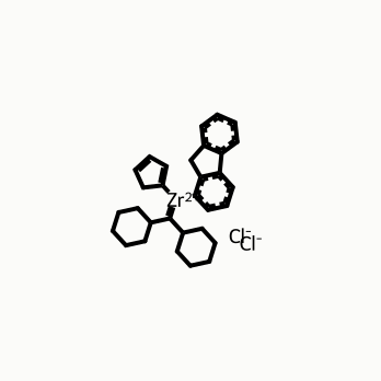 C1=CC[C]([Zr+2](=[C](C2CCCCC2)C2CCCCC2)[c]2cccc3c2Cc2ccccc2-3)=C1.[Cl-].[Cl-]